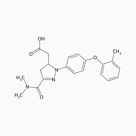 Cc1ccccc1Oc1ccc(N2N=C(C(=O)N(C)C)CC2CC(=O)O)cc1